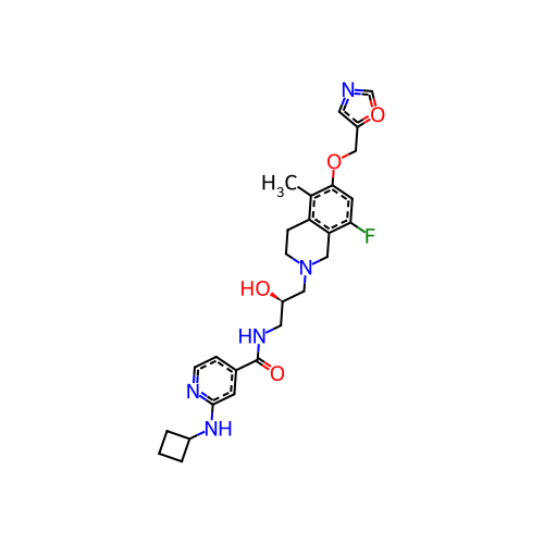 Cc1c(OCc2cnco2)cc(F)c2c1CCN(C[C@H](O)CNC(=O)c1ccnc(NC3CCC3)c1)C2